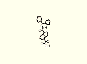 O=C(O)C(=O)c1cccc2c1CCCC2C(=O)NOC(c1ccccc1)c1ccccc1